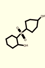 O=S(=O)(C1CCC(O)CC1)C1CCCCC1O